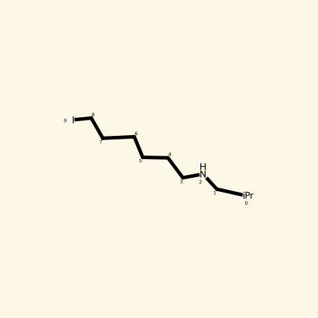 CC(C)CNCCCCCCI